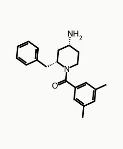 Cc1cc(C)cc(C(=O)N2CC[C@@H](N)C[C@H]2Cc2ccccc2)c1